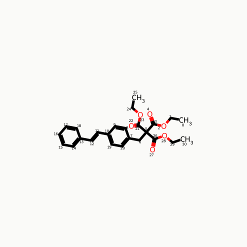 CCOC(=O)C(Cc1ccc(/C=C/c2ccccc2)cc1)(C(=O)OCC)C(=O)OCC